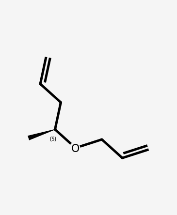 C=CCO[C@@H](C)CC=C